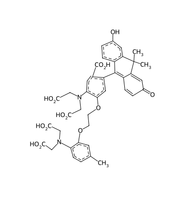 Cc1ccc(N(CC(=O)O)CC(=O)O)c(OCCOc2cc(C3=C4C=CC(=O)C=C4C(C)(C)c4cc(O)ccc43)c(C(=O)O)cc2N(CC(=O)O)CC(=O)O)c1